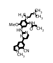 C=CC(=O)Nc1cc(Nc2nccc(-c3cc(C#N)c4c(ccn4C)c3)n2)c(OC)cc1N(C)CCN(C)C